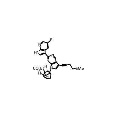 CCOC(=O)[C@H]1C2CCC(CC2)[C@@H]1n1cc(C#CCCSC)c2cnc(-c3c[nH]c4ncc(F)cc34)nc21